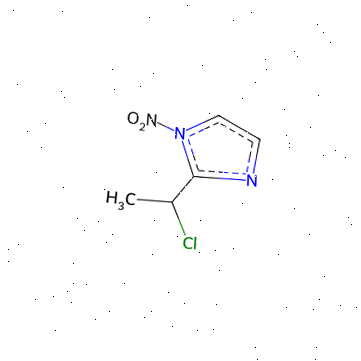 CC(Cl)c1nccn1[N+](=O)[O-]